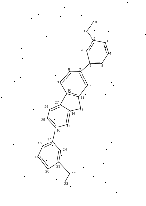 CCc1cccc(-c2ccc3c(c2)[CH]c2cc(-c4cccc(CC)c4)ccc2-3)c1